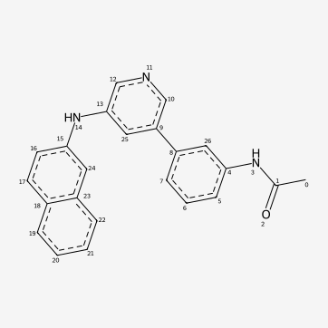 CC(=O)Nc1cccc(-c2cncc(Nc3ccc4ccccc4c3)c2)c1